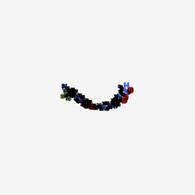 CCCC(C(=O)NC=O)N1Cc2cc(N3CCN(CCCCOc4ccc(N5CCN(c6ccc(C#N)c(C(F)(F)F)c6)CC5)cc4)CC3)ccc2C1=O